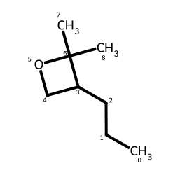 CCCC1COC1(C)C